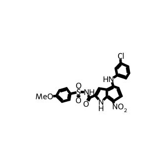 COc1ccc(S(=O)(=O)NC(=O)c2cc3c(Nc4cccc(Cl)c4)ccc([N+](=O)[O-])c3[nH]2)cc1